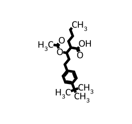 CCCCC(C(=O)O)C(CCc1ccc(C(C)(C)C)cc1)OC(C)=O